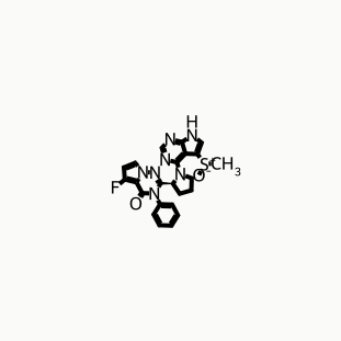 C[S+]([O-])c1c[nH]c2ncnc(N3CCC[C@H]3c3nn4ccc(F)c4c(=O)n3-c3ccccc3)c12